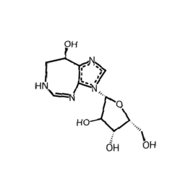 OC[C@H]1O[C@@H](n2cnc3c2N=CNC[C@H]3O)C(O)[C@H]1O